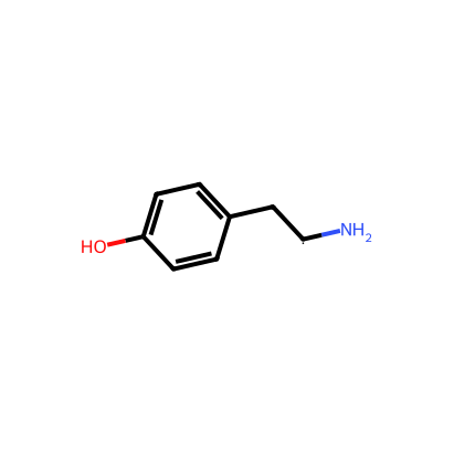 N[CH]Cc1ccc(O)cc1